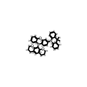 CC1(C)c2ccccc2N(c2ccc3c(c2)Oc2ccccc2B3c2c3c(cc4c2OCCC4)CCCO3)c2ccccc21